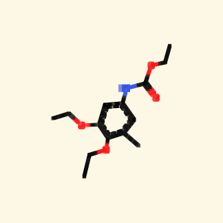 CCOC(=O)Nc1cc(C)c(OCC)c(OCC)c1